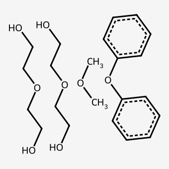 COC.OCCOCCO.OCCOCCO.c1ccc(Oc2ccccc2)cc1